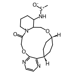 C[S+]([O-])NC1CCCN2C(=O)COc3nccnc3[C@H]3CC[C@H](CC3)OCC12